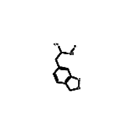 CCCC(Cc1ccc2c(c1)OOC2)NCC